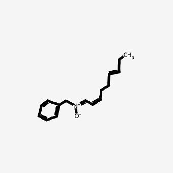 CCC=CCC/C=C\C=[N+](/[O-])Cc1ccccc1